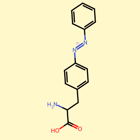 NC(Cc1ccc(/N=N/c2ccccc2)cc1)C(=O)O